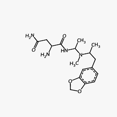 CC(Cc1ccc2c(c1)OCO2)N(C)C(C)NC(=O)C(N)CC(N)=O